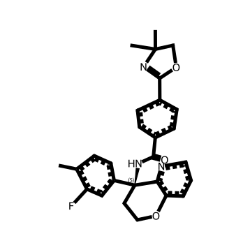 Cc1ccc([C@@]2(NC(=O)c3ccc(C4=NC(C)(C)CO4)cc3)CCOc3cccnc32)cc1F